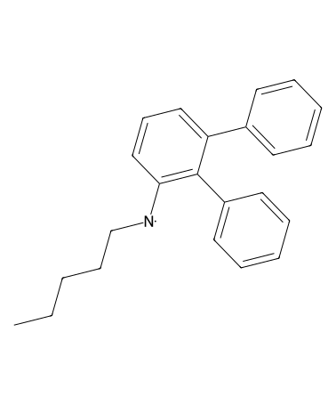 CCCCC[N]c1cccc(-c2ccccc2)c1-c1ccccc1